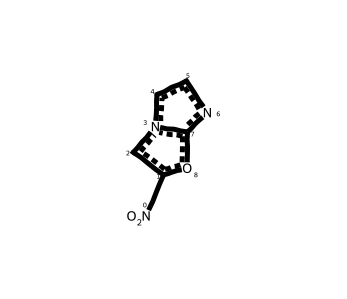 O=[N+]([O-])c1cn2ccnc2o1